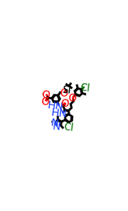 COC(=O)c1cc(CO[Si](C)(C)C(C)(C)C)cc(NC(=O)c2[nH]c3c(-c4c(C)nn(C)c4C)c(Cl)ccc3c2CCCOc2cc(C)c(Cl)c(C)c2)c1